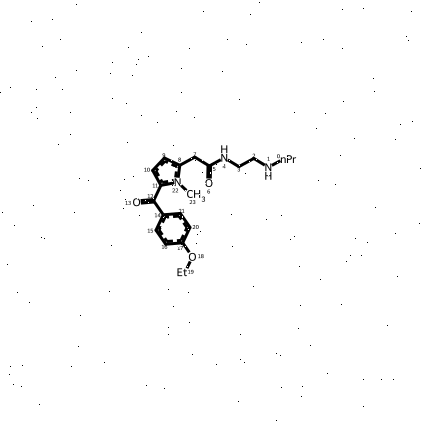 CCCNCCNC(=O)Cc1ccc(C(=O)c2ccc(OCC)cc2)n1C